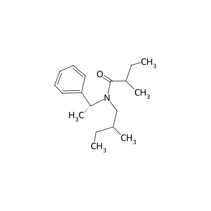 CCC(C)CN(C(=O)C(C)CC)[C@H](C)c1ccccc1